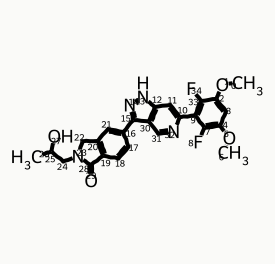 COc1cc(OC)c(F)c(-c2cc3[nH]nc(-c4ccc5c(c4)CN(CC(C)O)C5=O)c3cn2)c1F